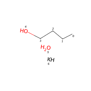 CCCCO.O.[KH]